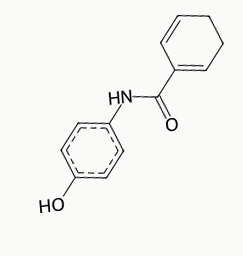 O=C(Nc1ccc(O)cc1)C1=CCCC=C1